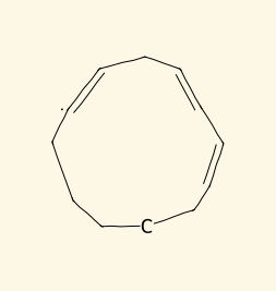 [C]1=C\C/C=C/C=C\CCCCC/1